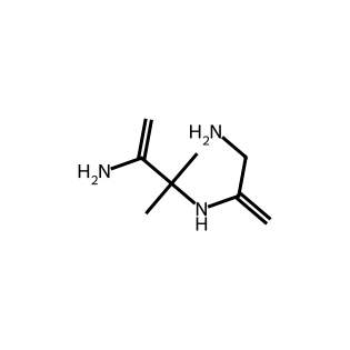 C=C(CN)NC(C)(C)C(=C)N